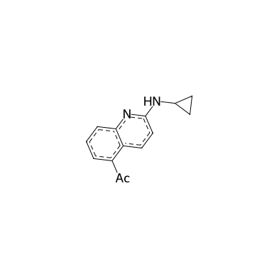 CC(=O)c1cccc2nc(NC3CC3)ccc12